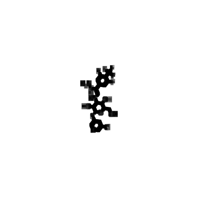 NN/C(=C\NC1C(O)[C@@H](Sc2cncc(Cl)c2)OC(CO)[C@@H]1O)c1cc(F)c(C(F)(F)F)c(F)c1